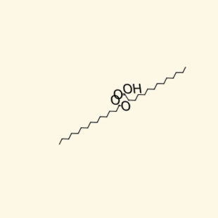 CCCCCCCCCCCCCC(=O)OC(CCCCCCCCCCCC)C(=O)O